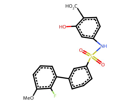 COc1cccc(-c2cccc(S(=O)(=O)Nc3ccc(C(=O)O)c(O)c3)c2)c1F